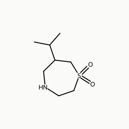 CC(C)C1CNCCS(=O)(=O)C1